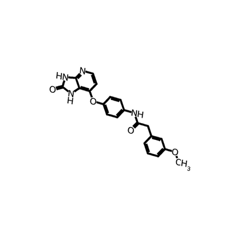 COc1cccc(CC(=O)Nc2ccc(Oc3ccnc4[nH]c(=O)[nH]c34)cc2)c1